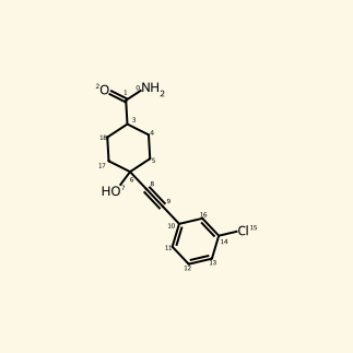 NC(=O)C1CCC(O)(C#Cc2cccc(Cl)c2)CC1